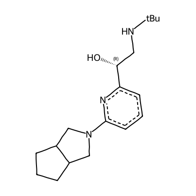 CC(C)(C)NC[C@@H](O)c1cccc(N2CC3CCCC3C2)n1